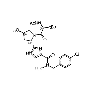 CC(=O)N[C@H](C(=O)N1C[C@H](O)C[C@H]1c1nc(C(=O)N(C)Cc2ccc(Cl)cc2)c[nH]1)C(C)(C)C